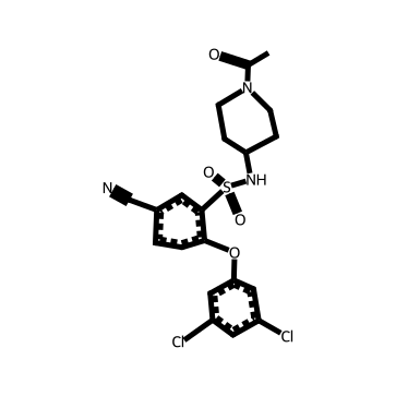 CC(=O)N1CCC(NS(=O)(=O)c2cc(C#N)ccc2Oc2cc(Cl)cc(Cl)c2)CC1